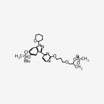 C[C@@H](COCCCOc1nccc(-c2nn(C3CCCCO3)c3ccc(O[Si](C)(C)C(C)(C)C)cc23)n1)OS(C)(=O)=O